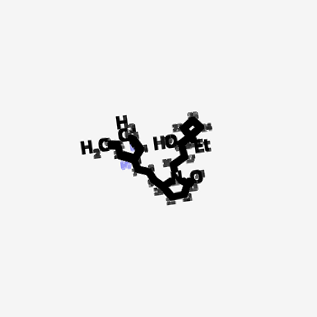 C=C/C=C(\C=C/C)CCCC1CCC(=O)N1CC[C@H](O)C1(CC)CCC1